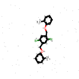 FC(F)(F)c1ccccc1OCc1cc(Br)c(COc2ccccc2C(F)(F)F)cc1Br